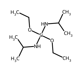 CCO[Si](NC(C)C)(NC(C)C)OCC